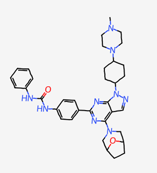 CN1CCN(C2CCC(n3ncc4c(N5CC6CCC(C5)O6)nc(-c5ccc(NC(=O)Nc6ccccc6)cc5)nc43)CC2)CC1